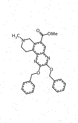 COC(=O)c1cc2nc(OCc3ccccc3)c(OCc3ccccc3)nc2c2c1CN(C)CC2